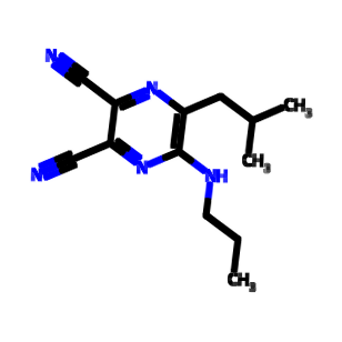 CCCNc1nc(C#N)c(C#N)nc1CC(C)C